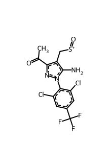 CC(=O)c1nn(-c2c(Cl)cc(C(F)(F)F)cc2Cl)c(N)c1C[S+]=O